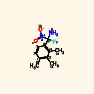 Cc1ccc(C(N)(F)[N+](=O)[O-])c(C)c1C